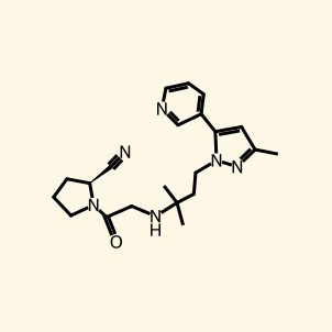 Cc1cc(-c2cccnc2)n(CCC(C)(C)NCC(=O)N2CCC[C@H]2C#N)n1